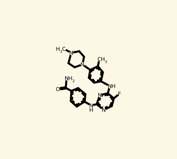 Cc1cc(Nc2nc(Nc3ccc(C(N)=O)cc3)ncc2F)ccc1N1CCN(C)CC1